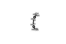 N=C(NO)c1ccc(NC(=O)CCCC(=O)Nc2ccc(C(=N)NO)cc2)cc1